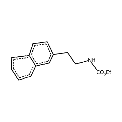 CCOC(=O)NCCc1ccc2ccccc2c1